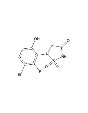 O=C1CN(c2c(O)ccc(Br)c2F)S(=O)(=O)N1